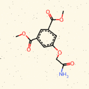 COC(=O)c1cc(OCC(N)=O)cc(C(=O)OC)c1